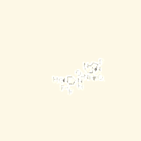 CO[C@@H](C)c1c(NC(=O)Nc2cc[n+](O)c(C(F)F)c2)cnc2cc(F)nn12